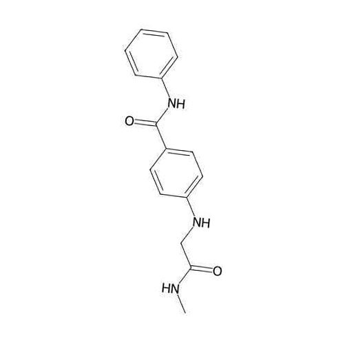 CNC(=O)CNc1ccc(C(=O)Nc2ccccc2)cc1